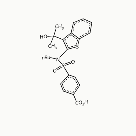 CCCCN(c1sc2ccccc2c1C(C)(C)O)S(=O)(=O)c1ccc(C(=O)O)cc1